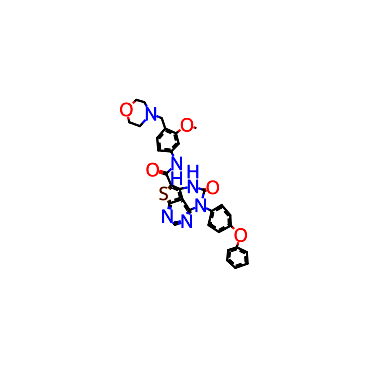 COc1cc(NC(=O)c2sc3ncnc4c3c2NC(=O)N4c2ccc(Oc3ccccc3)cc2)ccc1CN1CCOCC1